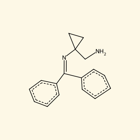 NCC1(N=C(c2ccccc2)c2ccccc2)CC1